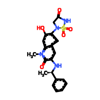 C[C@H](Nc1cc2cc(N3CC(=O)NS3(=O)=O)c(O)cc2n(C)c1=O)c1ccccc1